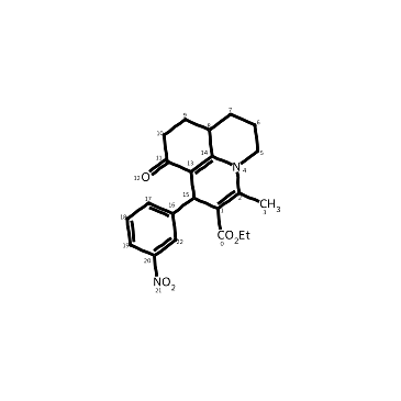 CCOC(=O)C1=C(C)N2CCCC3CCC(=O)C(=C32)C1c1cccc([N+](=O)[O-])c1